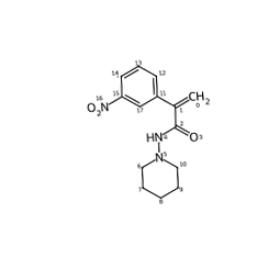 C=C(C(=O)NN1CCCCC1)c1cc[c]c([N+](=O)[O-])c1